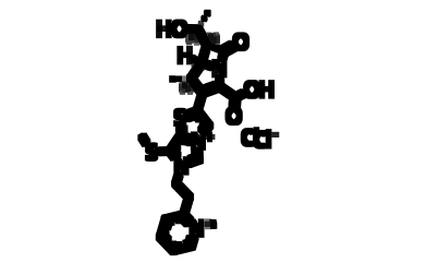 CSc1c2sc(C3=C(C(=O)O)N4C(=O)[C@H]([C@@H](C)O)[C@H]4[C@H]3C)c[n+]2cn1CCc1cccc[n+]1C.[Cl-].[Cl-]